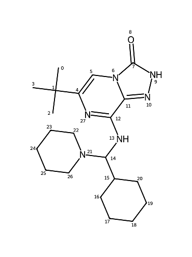 CC(C)(C)c1cn2c(=O)[nH]nc2c(NC(C2CCCCC2)N2CCCCC2)n1